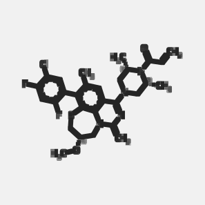 C=CC(=O)N1[C@H](C)CN(C2=NC(=C)N3C[C@H](OC)CSc4c(-c5cc(Cl)c(F)cc5F)c(C)cc2c43)C[C@@H]1C